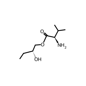 CC[C@@H](O)COC(=O)[C@H](N)C(C)C